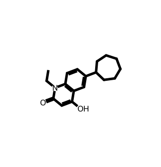 CCn1c(=O)cc(O)c2cc(C3CCCCCC3)ccc21